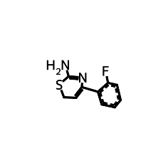 NC1=NC(c2ccccc2F)=CCS1